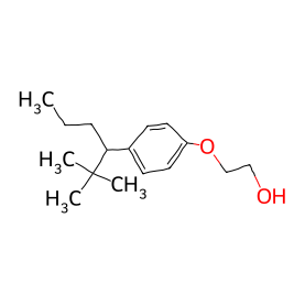 CCCC(c1ccc(OCCO)cc1)C(C)(C)C